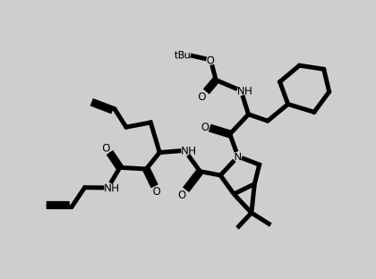 C=CCCC(NC(=O)C1C2C(CN1C(=O)C(CC1CCCCC1)NC(=O)OC(C)(C)C)C2(C)C)C(=O)C(=O)NCC=C